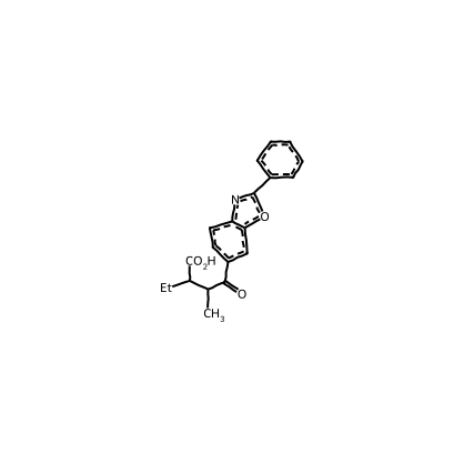 CCC(C(=O)O)C(C)C(=O)c1ccc2nc(-c3ccccc3)oc2c1